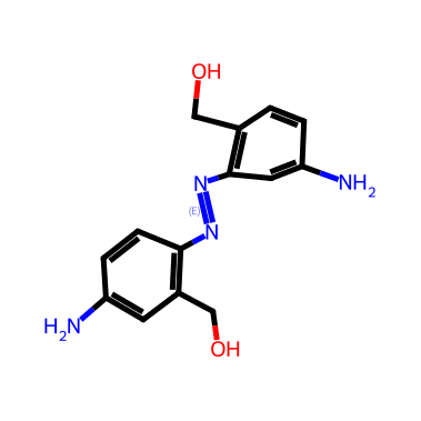 Nc1ccc(/N=N/c2cc(N)ccc2CO)c(CO)c1